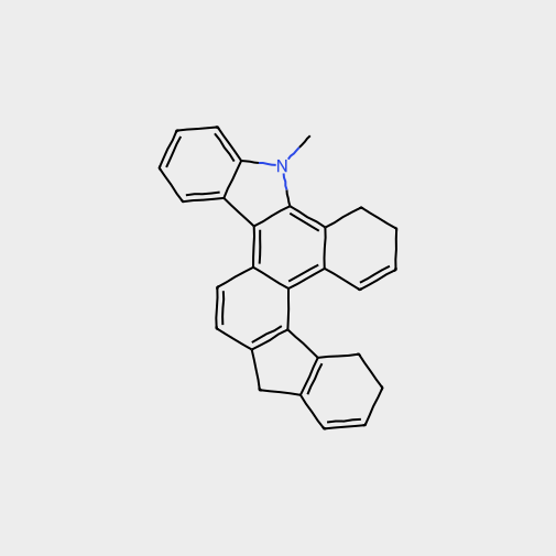 Cn1c2ccccc2c2c3ccc4c(c3c3c(c21)CCC=C3)C1=C(C=CCC1)C4